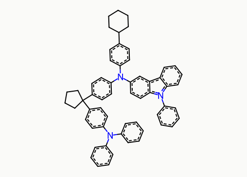 c1ccc(N(c2ccccc2)c2ccc(C3(c4ccc(N(c5ccc(C6CCCCC6)cc5)c5ccc6c(c5)c5ccccc5n6-c5ccccc5)cc4)CCCC3)cc2)cc1